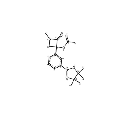 CC(=O)OC1(c2cccc(B3OC(C)(C)C(C)(C)O3)c2)CN(C)C1=O